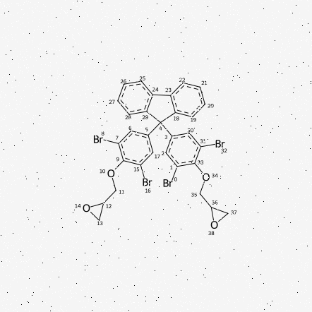 Brc1cc(C2(c3cc(Br)c(OCC4CO4)c(Br)c3)c3ccccc3-c3ccccc32)cc(Br)c1OCC1CO1